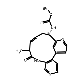 CC1C=CC[C@H](NC(=O)OC(C)(C)C)c2cc(ccn2)-c2ccncc2NC1=O